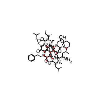 CC[C@H](C)[C@@H](C(=O)N[C@@H](COCC(C)C)C(=O)N(C)[C@@H](CCc1ccccc1)C(=O)N(C)[C@H](C(=O)N[C@@H](CC(=O)O)C(=O)N1CCCCC1)C(C)C)N(C)C(=O)CN(C)C(=O)[C@@H](NC(=O)[C@H](CC(C)C)N(C)C(=O)[C@@H](N)CC(C)C)C(C)C